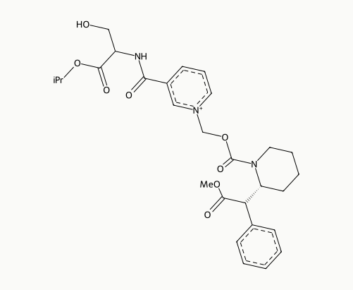 COC(=O)C(c1ccccc1)[C@H]1CCCCN1C(=O)OC[n+]1cccc(C(=O)NC(CO)C(=O)OC(C)C)c1